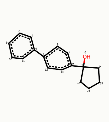 OC1(c2ccc(-c3ccccc3)cc2)CCCC1